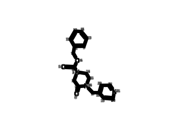 O=C1CN(C(=O)OCc2ccccc2)CCN1Cc1ccncc1